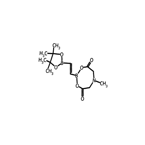 CN1CC(=O)OB(/C=C/B2OC(C)(C)C(C)(C)O2)OC(=O)C1